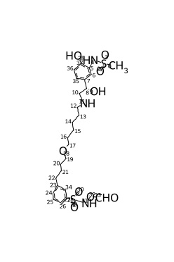 CS(=O)(=O)Nc1cc([C@H](O)CNCCCCCCOCCCCc2cccc(S(=O)(=O)NOC=O)c2)ccc1O